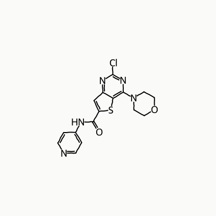 O=C(Nc1ccncc1)c1cc2nc(Cl)nc(N3CCOCC3)c2s1